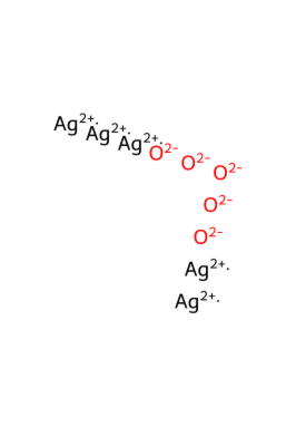 [Ag+2].[Ag+2].[Ag+2].[Ag+2].[Ag+2].[O-2].[O-2].[O-2].[O-2].[O-2]